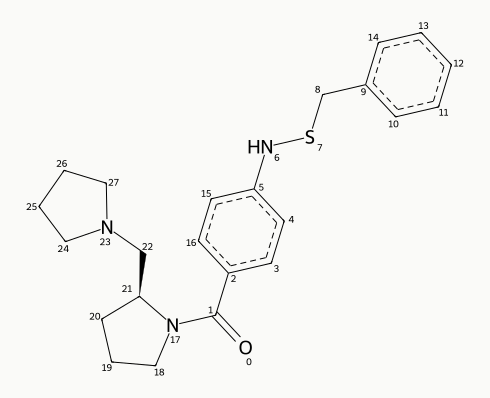 O=C(c1ccc(NSCc2ccccc2)cc1)N1CCC[C@H]1CN1CCCC1